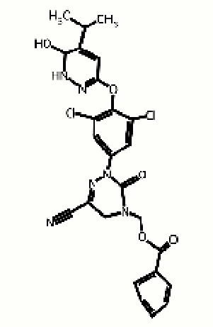 CC(C)C1=CC(Oc2c(Cl)cc(N3N=C(C#N)CN(COC(=O)c4ccccc4)C3=O)cc2Cl)=NNC1O